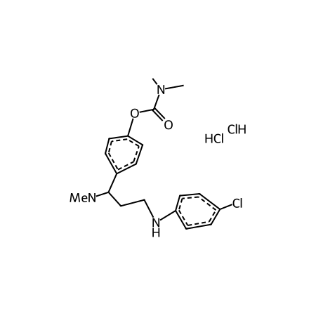 CNC(CCNc1ccc(Cl)cc1)c1ccc(OC(=O)N(C)C)cc1.Cl.Cl